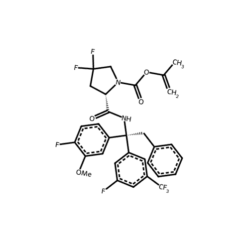 C=C(C)OC(=O)N1CC(F)(F)C[C@H]1C(=O)N[C@@](Cc1ccccc1)(c1cc(F)cc(C(F)(F)F)c1)c1ccc(F)c(OC)c1